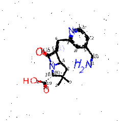 CC1(C)CC2/C(=C\c3cc(CN)ccn3)C(=O)N2[C@H]1C(=O)O